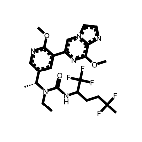 CCN(C(=O)NC(CCC(C)(F)F)C(F)(F)F)[C@H](C)c1cnc(OC)c(-c2cn3ccnc3c(OC)n2)c1